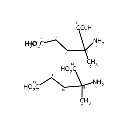 CC(N)(CCC(=O)O)C(=O)O.CC(N)(CCC(=O)O)C(=O)O.O